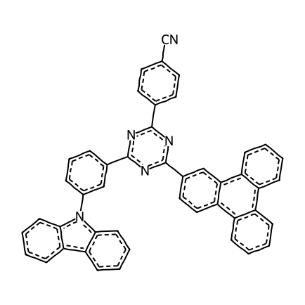 N#Cc1ccc(-c2nc(-c3cccc(-n4c5ccccc5c5ccccc54)c3)nc(-c3ccc4c5ccccc5c5ccccc5c4c3)n2)cc1